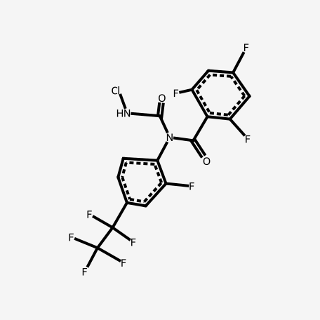 O=C(NCl)N(C(=O)c1c(F)cc(F)cc1F)c1ccc(C(F)(F)C(F)(F)F)cc1F